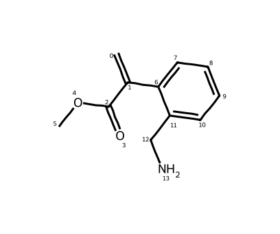 C=C(C(=O)OC)c1ccccc1CN